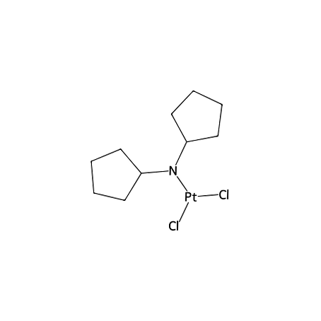 [Cl][Pt]([Cl])[N](C1CCCC1)C1CCCC1